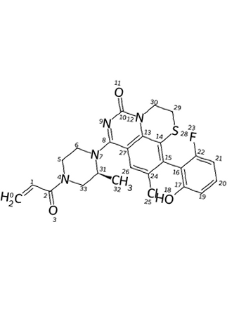 C=CC(=O)N1CCN(c2nc(=O)n3c4c(c(-c5c(O)cccc5F)c(Cl)cc24)SCC3)[C@@H](C)C1